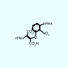 CCCCCCC(C(=O)O)=C(Oc1cccc(CCCCCC)c1[N+](=O)[O-])C(=O)O